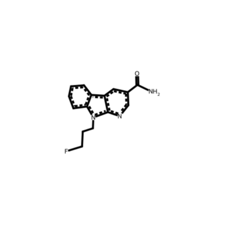 NC(=O)c1cnc2c(c1)c1ccccc1n2CCCF